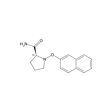 NC(=O)[C@@H]1CCCN1Oc1ccc2ccccc2c1